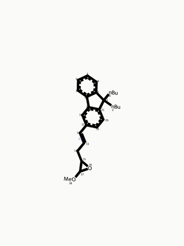 CCCCC1(CCCC)c2ccccc2-c2cc(/C=C/CC3OC3OC)ccc21